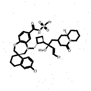 CC/C=C/[C@](CC1CC(=O)N2CCCC[C@@H]2C1)(OC)[C@@H]1CC[C@H]1CN1C[C@@]2(CCCc3cc(Cl)ccc32)COc2ccc(C(=O)NS(=O)(=O)C(C)C)cc21